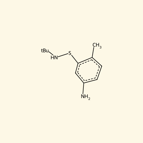 Cc1ccc(N)cc1SNC(C)(C)C